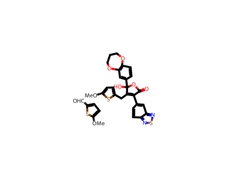 COc1ccc(C=O)s1.COc1ccc(CC2=C(c3ccc4nsnc4c3)C(=O)OC2(O)c2ccc3c(c2)OCCCO3)s1